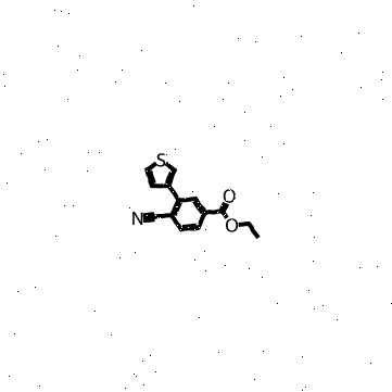 CCOC(=O)c1ccc(C#N)c(-c2ccsc2)c1